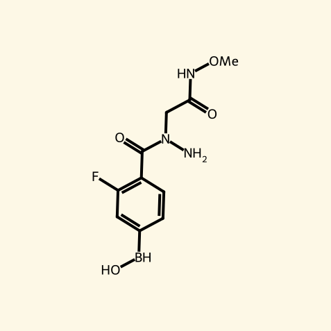 CONC(=O)CN(N)C(=O)c1ccc(BO)cc1F